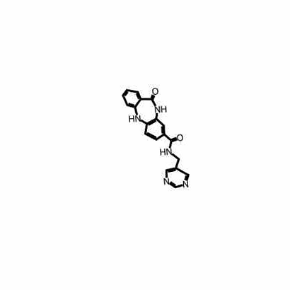 O=C(NCc1cncnc1)c1ccc2c(c1)NC(=O)c1ccccc1N2